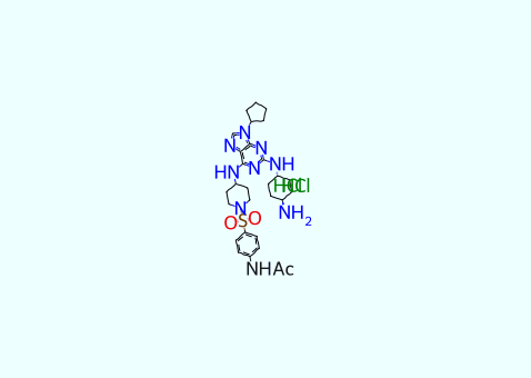 CC(=O)Nc1ccc(S(=O)(=O)N2CCC(Nc3nc(N[C@H]4CC[C@H](N)CC4)nc4c3ncn4C3CCCC3)CC2)cc1.Cl.Cl